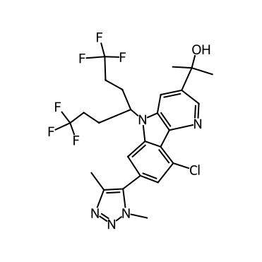 Cc1nnn(C)c1-c1cc(Cl)c2c3ncc(C(C)(C)O)cc3n(C(CCC(F)(F)F)CCC(F)(F)F)c2c1